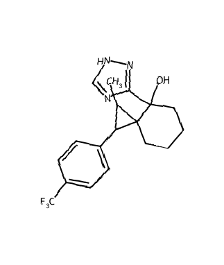 CC1C(c2ccc(C(F)(F)F)cc2)C12CCCCC2(O)c1nc[nH]n1